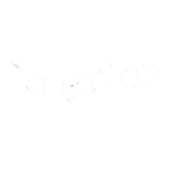 Cn1c(Cc2ccc(C#N)cc2)nc2cc(NS(=O)(=O)c3ccc4ccccc4c3)ccc21